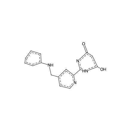 O=c1cc(O)[nH]c(-c2cc(CNc3ccccc3)ccn2)n1